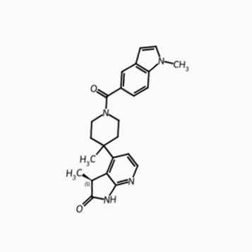 C[C@@H]1C(=O)Nc2nccc(C3(C)CCN(C(=O)c4ccc5c(ccn5C)c4)CC3)c21